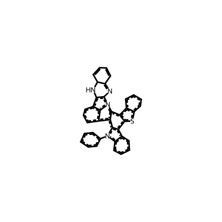 C1=CC2=Nc3c(c4cccc5c6c7c(c8ccccc8n7-c7ccccc7)c7sc8ccccc8c7c6n3c45)NC2C=C1